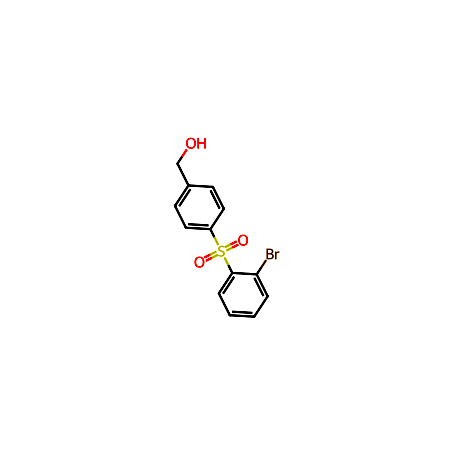 O=S(=O)(c1ccc(CO)cc1)c1ccccc1Br